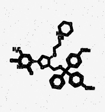 C1COCCN1.COc1ccc(C(OC[C@H]2O[C@@H](n3cc(C)c(=O)[nH]c3=O)C[C@@H]2OCCC#N)(c2ccccc2)c2ccc(OC)cc2)cc1